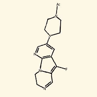 CC(=O)N1CCN(c2cnc3c(c2)c(F)c2n3CCN=C2)CC1